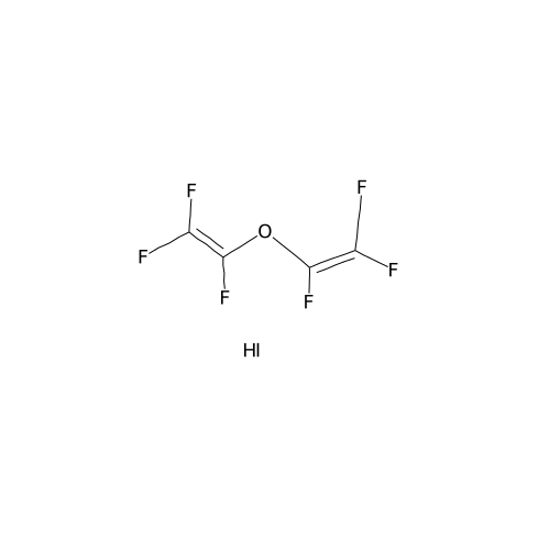 FC(F)=C(F)OC(F)=C(F)F.I